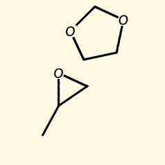 C1COCO1.CC1CO1